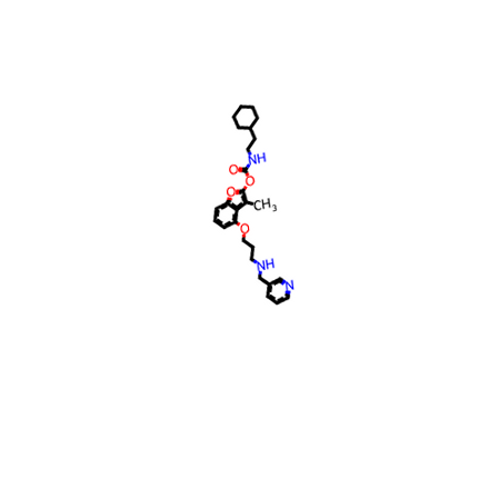 Cc1c(OC(=O)NCCC2CCCCC2)oc2cccc(OCCCNCc3cccnc3)c12